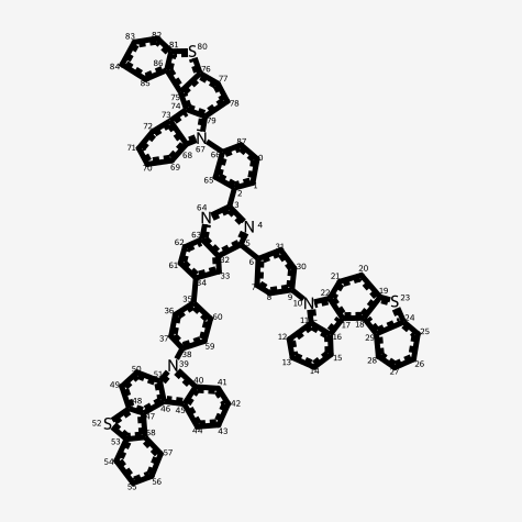 c1cc(-c2nc(-c3ccc(-n4c5ccccc5c5c6c(ccc54)sc4ccccc46)cc3)c3cc(-c4ccc(-n5c6ccccc6c6c7c(ccc65)sc5ccccc57)cc4)ccc3n2)cc(-n2c3ccccc3c3c4c(ccc32)sc2ccccc24)c1